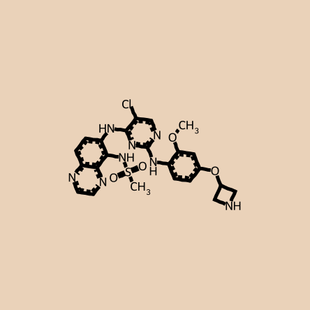 COc1cc(OC2CNC2)ccc1Nc1ncc(Cl)c(Nc2ccc3nccnc3c2NS(C)(=O)=O)n1